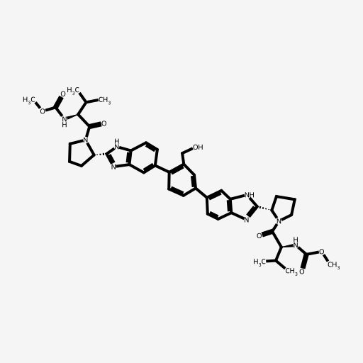 COC(=O)N[C@H](C(=O)N1CCC[C@H]1c1nc2cc(-c3ccc(-c4ccc5nc([C@@H]6CCCN6C(=O)[C@@H](NC(=O)OC)C(C)C)[nH]c5c4)cc3CO)ccc2[nH]1)C(C)C